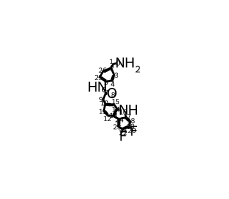 NCc1ccc(NC(=O)Cc2ccc3c(c2)[nH]c2cc(F)c(F)cc23)cc1